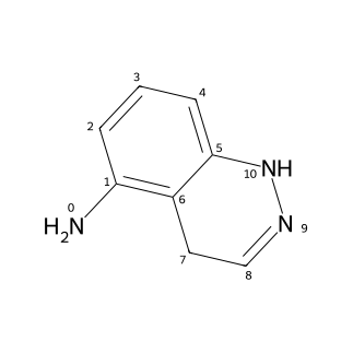 Nc1cccc2c1CC=NN2